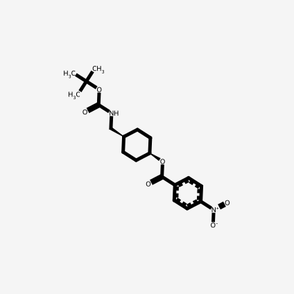 CC(C)(C)OC(=O)NC[C@H]1CC[C@@H](OC(=O)c2ccc([N+](=O)[O-])cc2)CC1